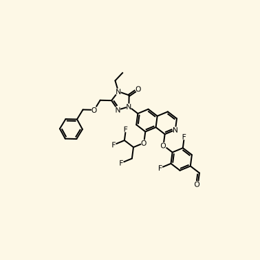 CCn1c(COCc2ccccc2)nn(-c2cc(OC(CF)C(F)F)c3c(Oc4c(F)cc(C=O)cc4F)nccc3c2)c1=O